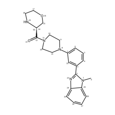 Cn1c(-c2cccc(N3CCN(C(=O)[C@@H]4COCCN4)CC3)c2)nc2ccccc21